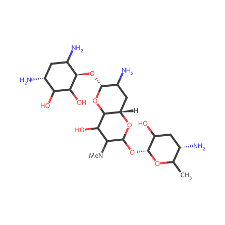 CNC1C(O[C@H]2OC(C)[C@@H](N)CC2O)O[C@H]2CC(N)[C@@H](O[C@@H]3C(N)C[C@@H](N)C(O)C3O)OC2C1O